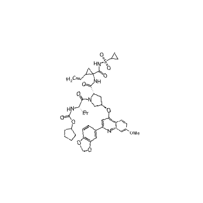 C=CC1CC1(NC(=O)[C@@H]1C[C@@H](Oc2cc(-c3ccc4c(c3)OCO4)nc3cc(OC)ccc23)CN1C(=O)[C@@H](NC(=O)OC1CCCC1)C(C)C)C(=O)NS(=O)(=O)C1CC1